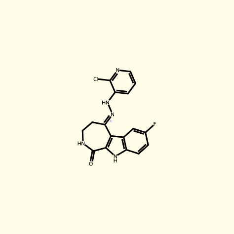 O=C1NCC/C(=N\Nc2cccnc2Cl)c2c1[nH]c1ccc(F)cc21